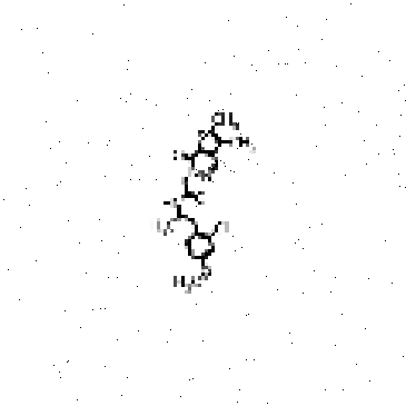 COc1ccc(CC(C)NC(=O)Cn2ncc3c(C)c(C)sc3c2=O)c(Cl)c1